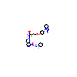 Cc1nc2ccccc2n1-c1ccc(OCCCc2sc(N3CCc4cccc(C(=O)Nc5nc6ccccc6s5)c4C3)nc2C(=O)O)cc1